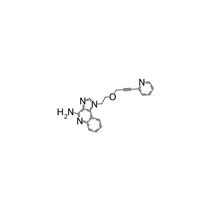 Nc1nc2ccccc2c2c1ncn2CCOCC#Cc1ccccn1